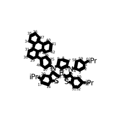 CC(C)c1ccc(N2c3cccc4c3B(c3sc5ccc(C(C)C)cc5c3N4c3ccc(-c4cccc5c6ccccc6c6ccccc6c45)cc3)c3sc4ccc(C(C)C)cc4c32)cc1